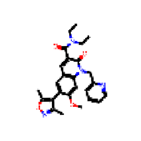 CCN(CC)C(=O)c1cc2cc(-c3c(C)noc3C)c(OC)cc2n(Cc2ccccn2)c1=O